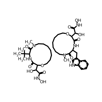 CN1CCCCCCCOC(C(O)C(=O)NO)C(=O)NC(C(C)(C)C)C1=O.CN1CCCCCCCOC(C(O)C(=O)NO)C(=O)NC(Cc2c[nH]c3ccccc23)C1=O